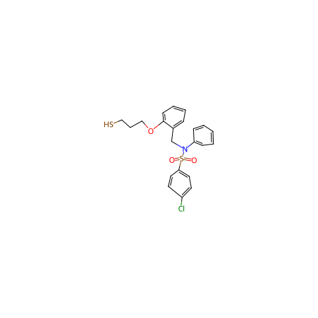 O=S(=O)(c1ccc(Cl)cc1)N(Cc1ccccc1OCCCS)c1ccccc1